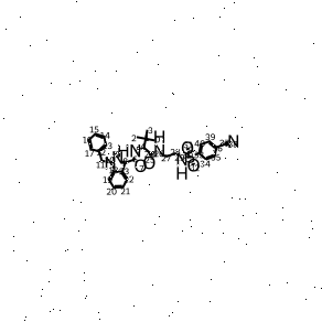 CC(C)(C)[C@H](NC(=O)c1nn(Cc2ccccc2)c2ccccc12)C(=O)NCCNS(=O)(=O)c1ccc(C#N)cc1